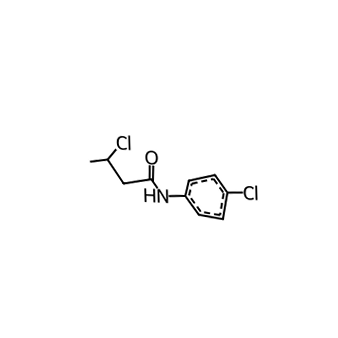 CC(Cl)CC(=O)Nc1ccc(Cl)cc1